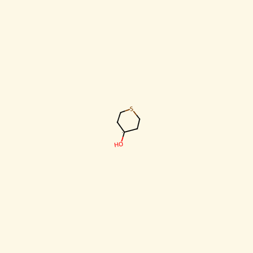 O[C]1CCSCC1